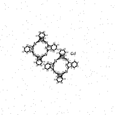 [Gd].c1ccc2c(c1)-c1nc-2nc2[nH]c(nc3nc(nc4[nH]c(n1)c1ccccc41)-c1ccccc1-3)c1ccccc21.c1ccc2c(c1)-c1nc-2nc2[nH]c(nc3nc(nc4[nH]c(n1)c1ccccc41)-c1ccccc1-3)c1ccccc21